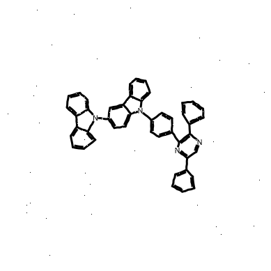 c1ccc(-c2cnc(-c3ccccc3)c(-c3ccc(-n4c5ccccc5c5cc(-n6c7ccccc7c7ccccc76)ccc54)cc3)n2)cc1